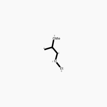 [CH2]COCC(C)OC